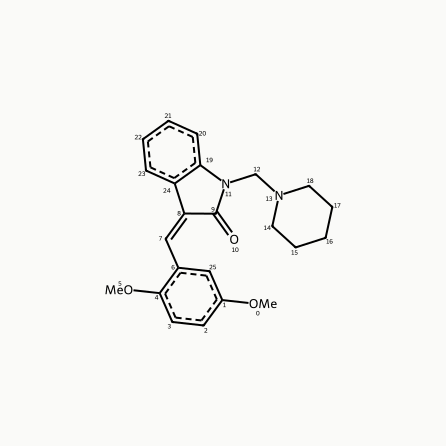 COc1ccc(OC)c(C=C2C(=O)N(CN3CCCCC3)c3ccccc32)c1